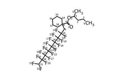 CCCC(C)OC(=O)C1(CC(F)(F)C(F)(F)C(F)(F)C(F)(F)C(F)(F)C(F)(F)C(F)(F)C(F)F)CCCCC1